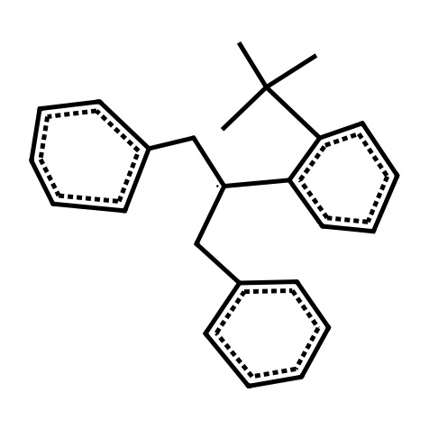 CC(C)(C)c1ccccc1[C](Cc1ccccc1)Cc1ccccc1